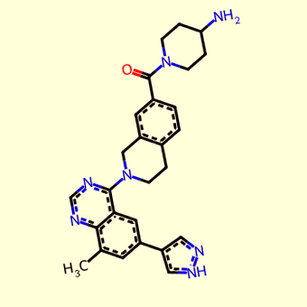 Cc1cc(-c2cn[nH]c2)cc2c(N3CCc4ccc(C(=O)N5CCC(N)CC5)cc4C3)ncnc12